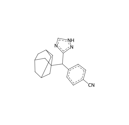 N#Cc1ccc(C(c2nc[nH]n2)C23CC4CC(CC(C4)C2)C3)cc1